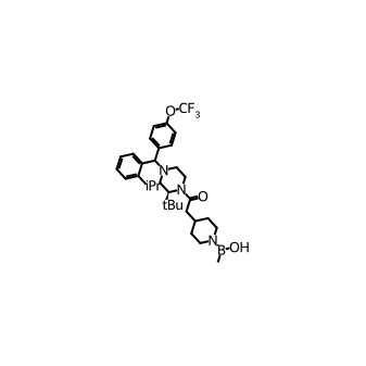 CB(O)N1CCC(CC(=O)N2CCN(C(c3ccc(OC(F)(F)F)cc3)c3ccccc3C(C)C)C[C@@H]2C(C)(C)C)CC1